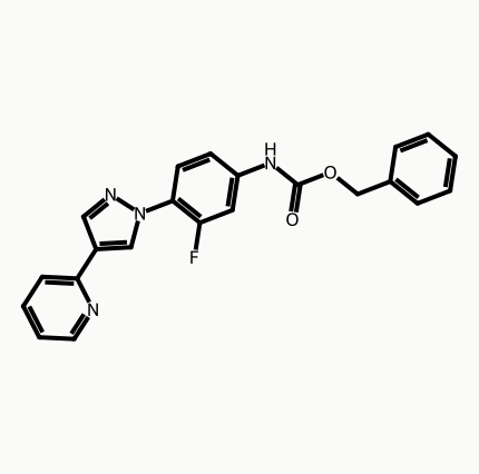 O=C(Nc1ccc(-n2cc(-c3ccccn3)cn2)c(F)c1)OCc1ccccc1